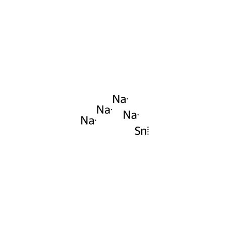 [Na].[Na].[Na].[Na].[Sn]